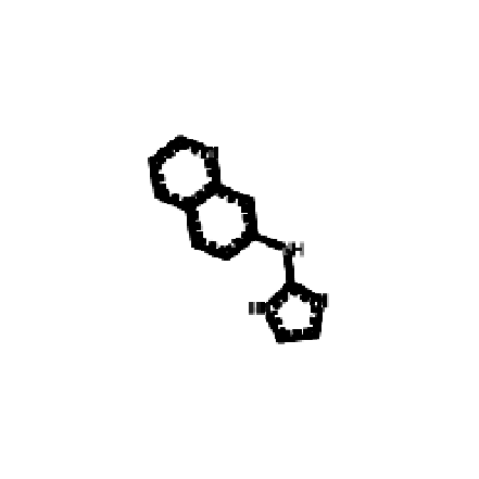 c1cnc2cc(Nc3ncc[nH]3)ccc2c1